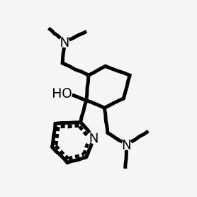 CN(C)CC1CCCC(CN(C)C)C1(O)c1ccccn1